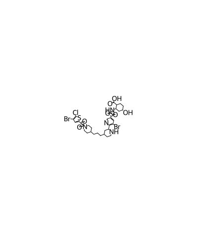 O=C(O)C1CCC(O)CC1NS(=O)(=O)c1cnc(C2CC(CCCC3CCN(S(=O)(=O)c4cc(Br)c(Cl)s4)CC3)CCN2)c(Br)c1